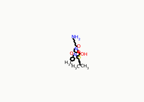 CC(C)C#Cc1cc(N(C(=O)C2CCC(C)CC2)C2CCN(C(=O)CCCCCN)CC2)c(C(=O)O)s1